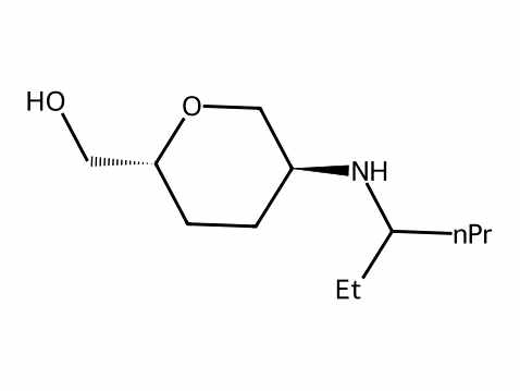 CCCC(CC)N[C@H]1CC[C@H](CO)OC1